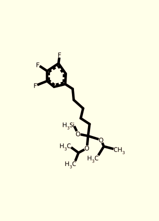 CC(C)OC(CCCCCc1cc(F)c(F)c(F)c1)(O[SiH3])OC(C)C